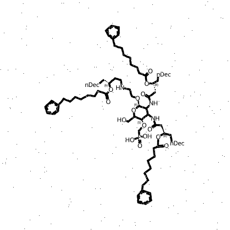 CCCCCCCCCCC[C@H](CCNCCO[C@@H]1OC(CO)[C@@H](OCP(=O)(O)O)C(NC(=O)C[C@@H](CCCCCCCCCCC)OC(=O)CCCCCCCc2ccccc2)C1NC(=O)C[C@@H](CCCCCCCCCCC)OC(=O)CCCCCCCc1ccccc1)OC(=O)CCCCCCCc1ccccc1